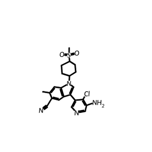 Cc1cc2c(cc1C#N)c(-c1cncc(N)c1Cl)cn2C1CCC(S(C)(=O)=O)CC1